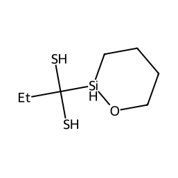 CCC(S)(S)[SiH]1CCCCO1